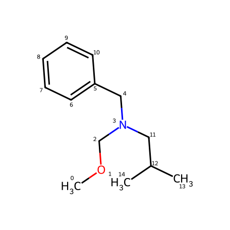 COCN(Cc1ccccc1)CC(C)C